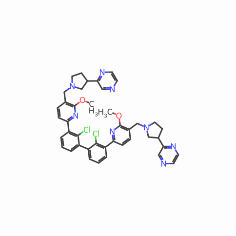 COc1nc(-c2cccc(-c3cccc(-c4ccc(CN5CCC(c6cnccn6)C5)c(OC)n4)c3Cl)c2Cl)ccc1CN1CCC(c2cnccn2)C1